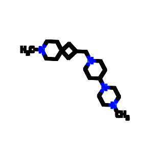 CN1CCN(C2CCN(CC3CC4(CCN(C)CC4)C3)CC2)CC1